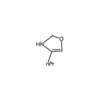 CCCC1=CO[C]N1